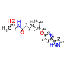 C[C@H](O)CNC(=O)CCc1cccc(COc2ccc(-c3ccn[nH]3)nc2)c1